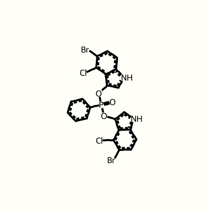 O=P(Oc1c[nH]c2ccc(Br)c(Cl)c12)(Oc1c[nH]c2ccc(Br)c(Cl)c12)c1ccccc1